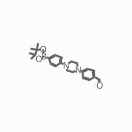 CC1(C)OB(c2ccc(N3CCN(c4ccc(C=O)cc4)CC3)cc2)OC1(C)C